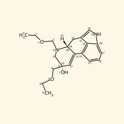 CCOCN1C[C@](O)(COCC)C=C2c3cccc4[nH]cc(c34)C[C@H]21